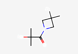 CC(C)C1(C)CN(C(=O)C(C)(C)O)C1